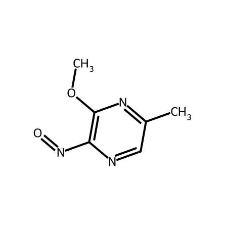 COc1nc(C)cnc1N=O